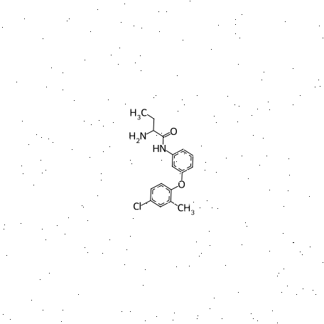 CCC(N)C(=O)Nc1cccc(Oc2ccc(Cl)cc2C)c1